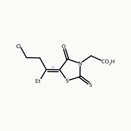 CC/C(CCCl)=C1\SC(=S)N(CC(=O)O)C1=O